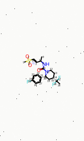 CC(/C=C/S(C)(=O)=O)NC(=O)N1CC[C@H](C(C)(F)F)C[C@@H]1c1ccc(F)cc1